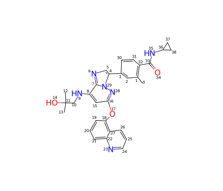 Cc1cc(-c2cnc3c(NCC(C)(C)O)cc(Oc4cccc5ncccc45)nn23)ccc1C(=O)NC1CC1